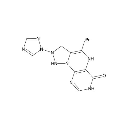 CC(C)C1=C2CN(n3cncn3)NN2c2nc[nH]c(=O)c2N1